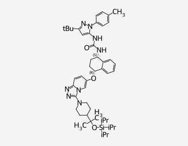 Cc1ccc(-n2nc(C(C)(C)C)cc2NC(=O)N[C@H]2CC[C@@H](Oc3ccc4nnc(N5CCC(C(C)(C)O[Si](C(C)C)(C(C)C)C(C)C)CC5)n4c3)c3ccccc32)cc1